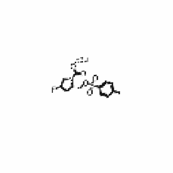 Cc1ccc(S(=O)(=O)OC[C@@H]2C[C@@H](F)CN2C(=O)OC(C)(C)C)cc1